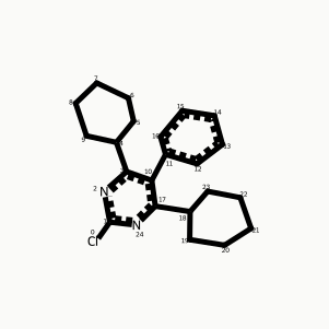 Clc1nc(C2CCCCC2)c(-c2ccccc2)c(C2CCCCC2)n1